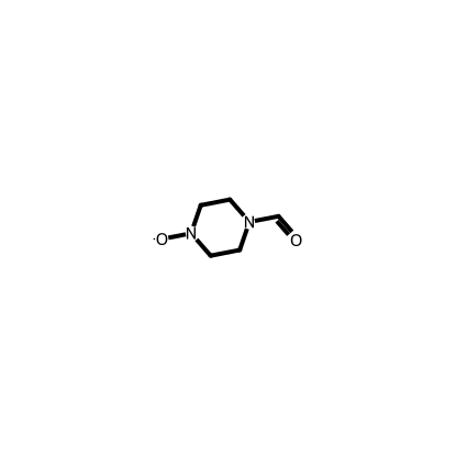 [O]N1CCN(C=O)CC1